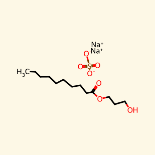 CCCCCCCCCC(=O)OCCCO.O=S(=O)([O-])[O-].[Na+].[Na+]